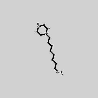 NCCCCCCCCN1CCOCC1